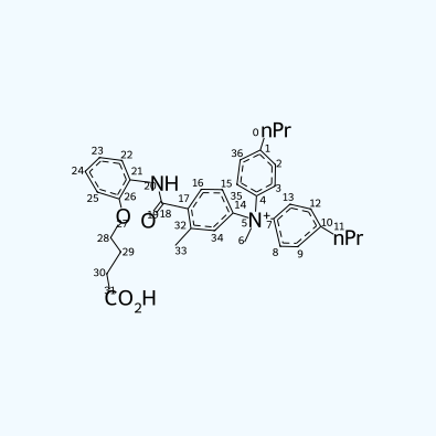 CCCc1ccc([N+](C)(c2ccc(CCC)cc2)c2ccc(C(=O)Nc3ccccc3OCCCC(=O)O)c(C)c2)cc1